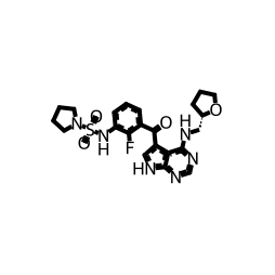 O=C(c1cccc(NS(=O)(=O)N2CCCC2)c1F)c1c[nH]c2ncnc(NC[C@@H]3CCCO3)c12